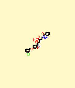 O=C(CC(CCn1nnc2ccccc2c1=O)C(=O)O)c1noc2cc(OCc3cccc(Cl)c3)ccc12